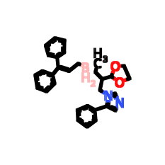 BCC=C(c1ccccc1)c1ccccc1.CCC(Cn1cncc1-c1ccccc1)C1OCCO1